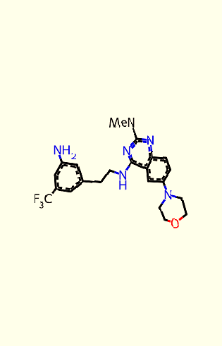 CNc1nc(NCCc2cc(N)cc(C(F)(F)F)c2)c2cc(N3CCOCC3)ccc2n1